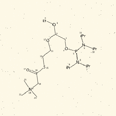 CCOC(COP(N(C(C)C)C(C)C)N(C(C)C)C(C)C)OCCSC(=O)C[N+](C)(C)C